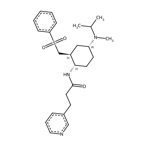 CC(C)N(C)[C@@H]1CC[C@H](NC(=O)CCc2cccnc2)[C@@H](CS(=O)(=O)c2ccccc2)C1